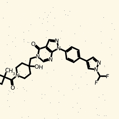 CC1(C(=O)N2CCC(O)(Cn3cnc4c(cnn4-c4ccc(-c5cnn(C(F)F)c5)cc4)c3=O)CC2)CCC1